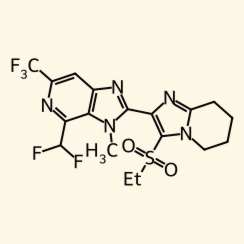 CCS(=O)(=O)c1c(-c2nc3cc(C(F)(F)F)nc(C(F)F)c3n2C)nc2n1CCCC2